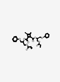 C=CC(=O)OCC(COc1ccccc1)OC(=O)C1=C(C(=O)OC(COC(=O)C=C)COc2ccccc2)C(C)=C1C